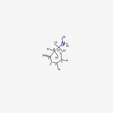 C=C(CC(C)C(C)C)C(C)(C)C(C)(C)N(C)C